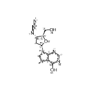 [N-]=[N+]=N[C@H]1C[C@H](n2cnc3c(O)ncnc32)O[C@@H]1CO